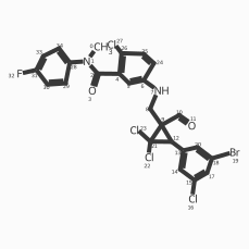 CN(C(=O)c1cc(NCC2(C=O)C(c3cc(Cl)cc(Br)c3)C2(Cl)Cl)ccc1Cl)c1ccc(F)cc1